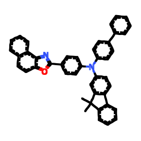 CC1(C)c2ccccc2-c2ccc(N(c3ccc(-c4ccccc4)cc3)c3ccc(-c4nc5c(ccc6ccccc65)o4)cc3)cc21